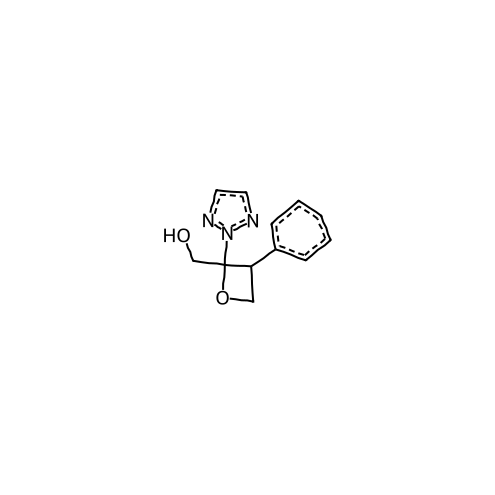 OCC1(n2nccn2)OCC1c1ccccc1